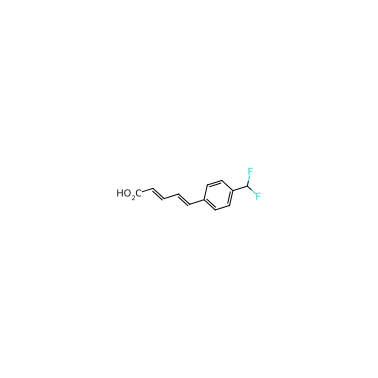 O=C(O)C=CC=Cc1ccc(C(F)F)cc1